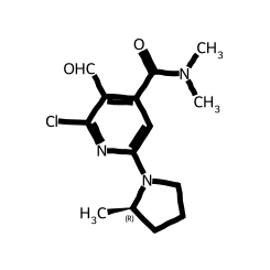 C[C@@H]1CCCN1c1cc(C(=O)N(C)C)c(C=O)c(Cl)n1